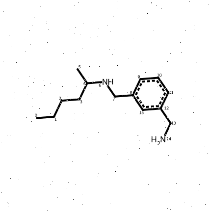 CCCCC(C)NCc1cccc(CN)c1